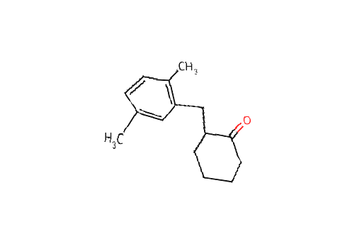 Cc1ccc(C)c(CC2CCCCC2=O)c1